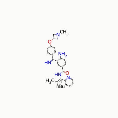 CCCCC(C)[C@H](NC(=O)c1ccc(N)c(C(=N)c2ccc(OC3CN(C)C3)cc2)c1)c1ccccn1